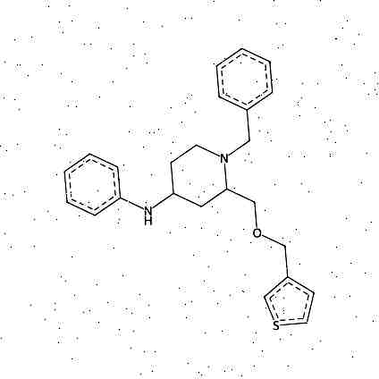 c1ccc(CN2CCC(Nc3ccccc3)CC2COCc2ccsc2)cc1